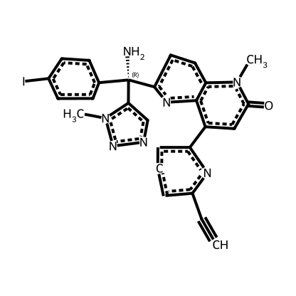 C#Cc1cccc(-c2cc(=O)n(C)c3ccc([C@](N)(c4ccc(I)cc4)c4cnnn4C)nc23)n1